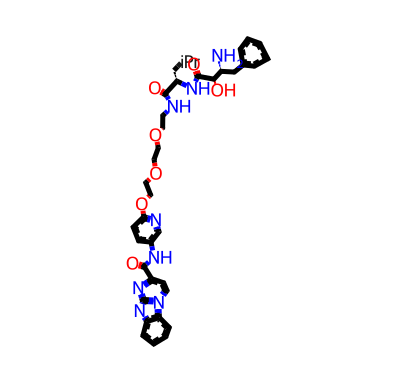 CC(C)C[C@H](NC(=O)[C@@H](O)[C@H](N)Cc1ccccc1)C(=O)NCCOCCOCCOc1ccc(NC(=O)c2ccn3c(n2)nc2ccccc23)cn1